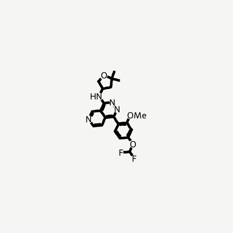 COc1cc(OC(F)F)ccc1-c1nnc(NC2COC(C)(C)C2)c2cnccc12